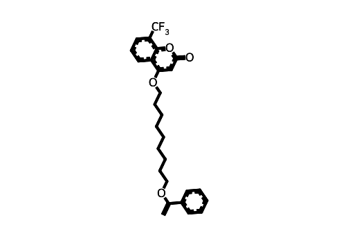 C=C(OCCCCCCCCCOc1cc(=O)oc2c(C(F)(F)F)cccc12)c1ccccc1